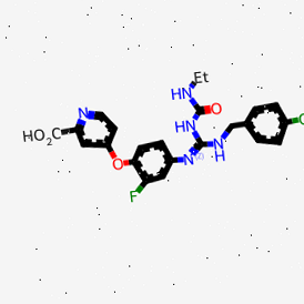 CCNC(=O)N/C(=N\c1ccc(Oc2ccnc(C(=O)O)c2)c(F)c1)NCc1ccc(Cl)cc1